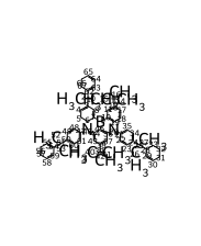 CC(C)(C1=CCC2C(=C1)B1c3cc(C(C)(C)C)ccc3N(c3ccc(C(C)(C)C4C=CCCC4)cc3)c3cc(C(C)(C)C)cc(c31)N2c1ccc(C(C)(C)c2ccccc2)cc1)C1=CC=CCC1